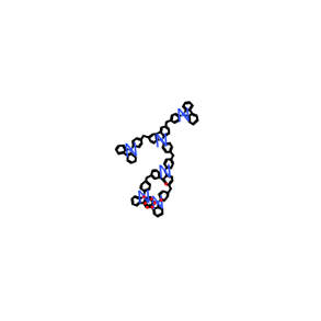 C1=Cc2c(n(-c3ccc(Cc4ccc5c(c4)c4cc(Cc6ccc(-n7c8ccccc8c8ccccc87)cc6)ccc4n5-c4ccc(Cc5ccc(-n6c7ccc(Cc8ccc(-n9c%10ccccc%10c%10ccccc%109)cc8)cc7c7cc(Cc8ccc(-n9c%10ccccc%10c%10ccccc%109)cc8)ccc76)cc5)cc4)cc3)c3ccccc23)CC1